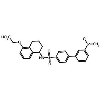 C[S+]([O-])c1cccc(-c2ccc(S(=O)(=O)N[C@@H]3CCCc4c(OCC(=O)O)cccc43)cc2)c1